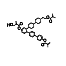 C=C(C)C(=O)OCCC1CCC(C2CCC(c3cc(OC(=O)C(=C)CO)ccc3-c3ccc(-c4ccc(OC(=O)C(=C)C)cc4)cc3)CC2)CC1